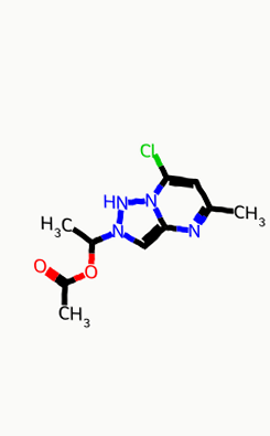 CC(=O)OC(C)N1C=C2N=C(C)C=C(Cl)N2N1